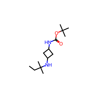 CCC(C)(C)NC1CC(NC(=O)OC(C)(C)C)C1